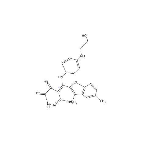 Cc1ccc2oc(/C(Nc3ccc(NCCO)cc3)=C3/C(=N)C(=O)NN=C3N)c(C)c2c1